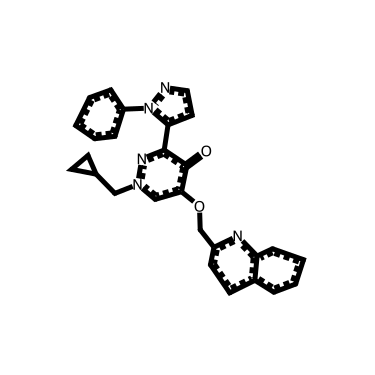 O=c1c(OCc2ccc3ccccc3n2)cn(CC2CC2)nc1-c1ccnn1-c1ccccc1